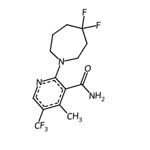 Cc1c(C(F)(F)F)cnc(N2CCCC(F)(F)CC2)c1C(N)=O